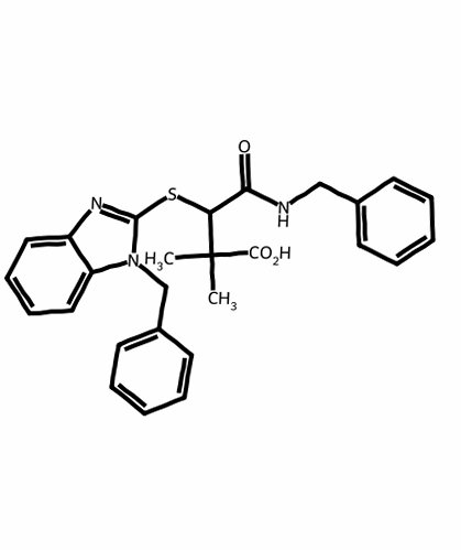 CC(C)(C(=O)O)C(Sc1nc2ccccc2n1Cc1ccccc1)C(=O)NCc1ccccc1